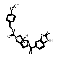 O=C(c1ccc2[nH]c(=O)oc2c1)N1C=C2CN(C(=O)OCc3ccc(OC(F)(F)F)cc3)C[C@@H]2C1